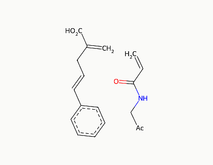 C=C(CC=Cc1ccccc1)C(=O)O.C=CC(=O)NCC(C)=O